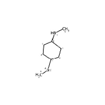 CBC1CCC(BC)CC1